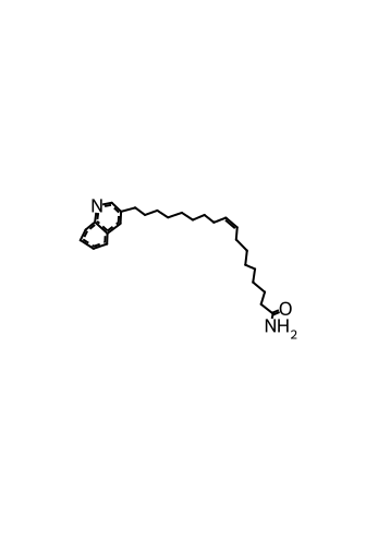 NC(=O)CCCCCCC/C=C\CCCCCCCCc1cnc2ccccc2c1